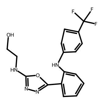 OCCNc1nnc(-c2ccccc2Nc2ccc(C(F)(F)F)cc2)o1